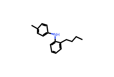 CCCCc1ccccc1Nc1ccc(C)cc1